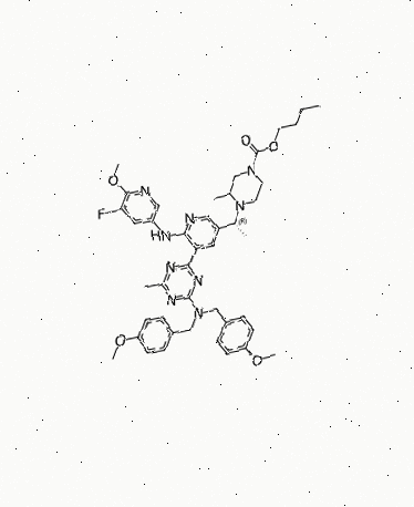 CCCCOC(=O)N1CCN([C@H](C)c2cnc(Nc3cnc(OC)c(F)c3)c(-c3nc(C)nc(N(Cc4ccc(OC)cc4)Cc4ccc(OC)cc4)n3)c2)C(C)C1